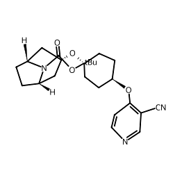 CC(C)(C)OC(=O)N1[C@@H]2CC[C@H]1C[C@@H](O[C@H]1CC[C@H](Oc3ccncc3C#N)CC1)C2